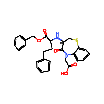 O=C(O)CN1C(=O)[C@@H](NC(CCc2ccccc2)C(=O)OCc2ccccc2)CSc2ccccc21